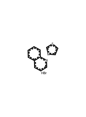 Br.c1ccc2ncccc2c1.c1cscn1